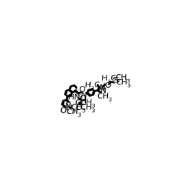 Cc1nn(COCCS(C)(C)C)c(C)c1-c1ccc(NC(=O)[C@@H](NC(=O)OC(C)(C)C)[C@@H]2CCCc3ccc(-c4ccc(=O)n(C(C)C)c4)cc32)cc1